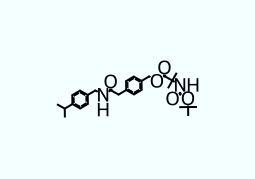 CC(C)c1ccc(CNC(=O)Cc2ccc(COC(=O)C(C)(C)NC(=O)OC(C)(C)C)cc2)cc1